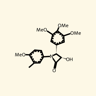 COc1ccc(N2C(=O)[C@@H](O)[C@H]2c2cc(OC)c(OC)c(OC)c2)cc1C